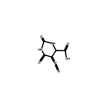 [N-]=[N+]=C1C(=O)NC(=O)NC1C(=O)O